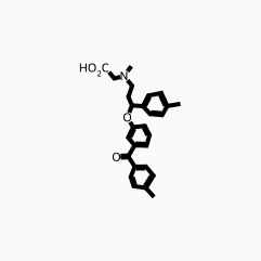 Cc1ccc(C(=O)c2cccc(OC(CCN(C)CC(=O)O)c3ccc(C)cc3)c2)cc1